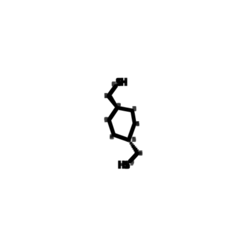 SC[C@H]1CC[C@H](CS)CC1